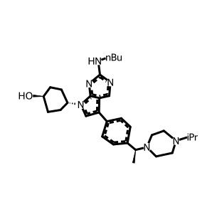 CCCCNc1ncc2c(-c3ccc([C@H](C)N4CCN(C(C)C)CC4)cc3)cn([C@H]3CC[C@H](O)CC3)c2n1